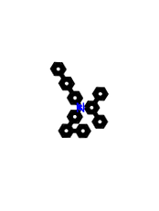 c1ccc(-c2ccc(-c3ccc(N(c4ccc(-c5ccccc5-c5ccccc5)cc4)c4cc(-c5ccccc5)cc(-c5ccccc5)c4)cc3)cc2)cc1